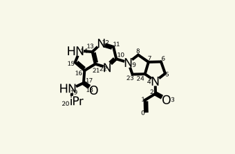 C=CC(=O)N1CCC2CN(c3cnc4[nH]cc(C(=O)NC(C)C)c4n3)CC21